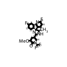 COc1cc(C2=N[C@](c3ccc(F)cc3)(c3ccc(F)nc3)[C@H](C)N2)cn(C(F)F)c1=O